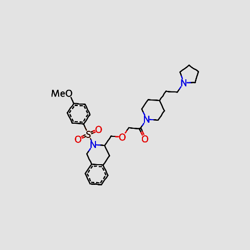 COc1ccc(S(=O)(=O)N2Cc3ccccc3CC2COCC(=O)N2CCC(CCN3CCCC3)CC2)cc1